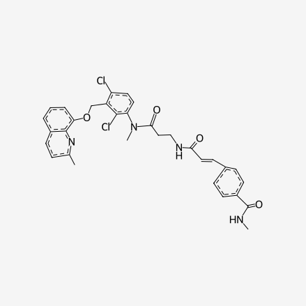 CNC(=O)c1ccc(C=CC(=O)NCCC(=O)N(C)c2ccc(Cl)c(COc3cccc4ccc(C)nc34)c2Cl)cc1